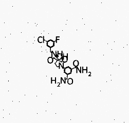 NC(=O)c1cc(C(N)=O)cc(N2CCC(O)(C(=O)NCc3cc(F)cc(Cl)c3)C2=O)c1